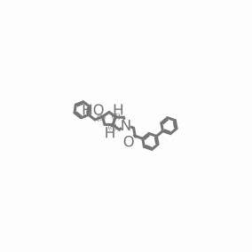 O=C(CN1C[C@@H]2C[C@](O)(Cc3ccccc3)C[C@@H]2C1)c1cccc(-c2ccccc2)c1